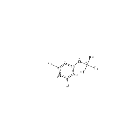 Cc1nc(I)cc(OC(F)(F)F)n1